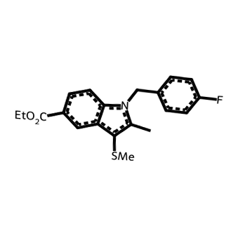 CCOC(=O)c1ccc2c(c1)c(SC)c(C)n2Cc1ccc(F)cc1